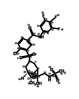 C[C@H]1CC2CC(S(=O)(=O)c3cc(C(=O)Nc4cc(F)c(F)c(F)c4)ccc3Cl)C[C@H]1[C@@]2(O)C(O)CNS(C)(=O)=O